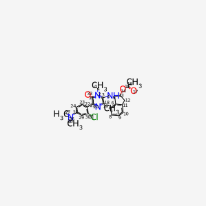 CCn1c(NC2c3ccccc3CC2OC(C)=O)c(C)nc(-c2ccc(N(C)C)cc2Cl)c1=O